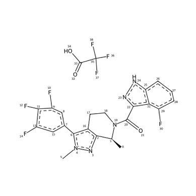 C[C@H]1c2nn(C)c(-c3cc(F)c(F)c(F)c3)c2CCN1C(=O)c1n[nH]c2cccc(F)c12.O=C(O)C(F)(F)F